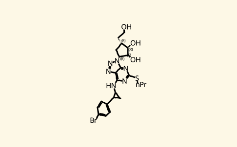 CCCSc1nc(NC2CC2c2ccc(Br)cc2)c2nnn([C@@H]3C[C@H](CCO)[C@@H](O)[C@H]3O)c2n1